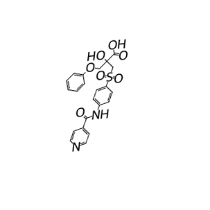 O=C(Nc1ccc(S(=O)(=O)CC(O)(COc2ccccc2)C(=O)O)cc1)c1ccncc1